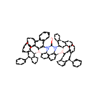 O=C1N2c3c(c4ccccc4c4ccccc34)B(c3c4ccccc4c(-c4ccccc4)c4ccccc34)c3ccc4ccc5c(c4c32)N1c1c(c2ccccc2c2ccccc12)B5c1c2ccccc2c(-c2ccccc2)c2ccccc12